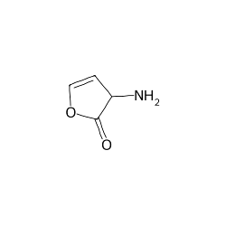 NC1C=COC1=O